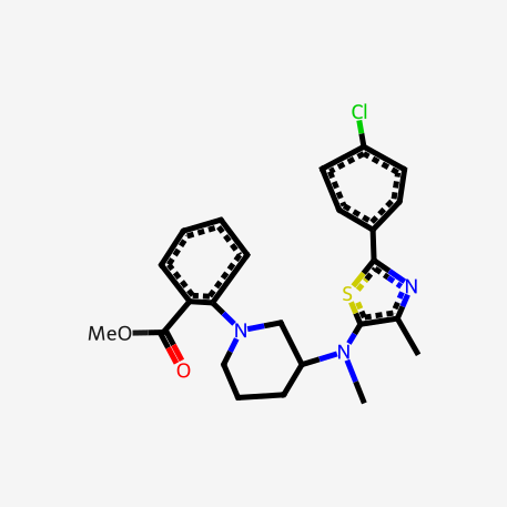 COC(=O)c1ccccc1N1CCCC(N(C)c2sc(-c3ccc(Cl)cc3)nc2C)C1